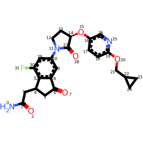 NC(=O)CC1CC(=O)c2cc(N3CC[C@@H](Oc4ccc(OCC5CC5)nc4)C3=O)cc(F)c21